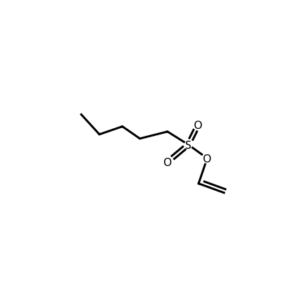 C=COS(=O)(=O)CCCCC